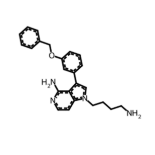 NCCCCn1cc(-c2cccc(OCc3ccccc3)c2)c2c(N)nccc21